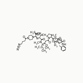 CC[C@H](C)[C@@H]([C@@H](CC(=O)N1CCCC1[C@H](OC)[C@@H](C)C(=O)N[C@@H](Cc1ccccc1)P(=O)(O)O)OC)N(C)C(=O)C(N=C(N(C)C)N1CCN(C(=O)CCCN=[N+]=[N-])CC1)C(C)C